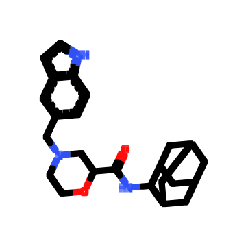 O=C(NC1C2CC3CC(C2)CC1C3)C1CN(Cc2ccc3[nH]ccc3c2)CCO1